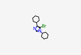 Brc1c(C2CCCCC2)ncn1C1CCCCC1